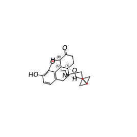 O=C1CC[C@@]2(OCC3CC3)[C@H]3Cc4ccc(O)c5c4[C@@]2(CCN3CC2CC2)[C@H]1O5